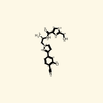 C[C@H](Cn1ccc(-c2ccc(C#N)c(Cl)c2)n1)NC(=O)c1csc(CO)n1